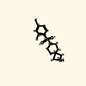 Cc1ccc(S(=O)(=O)N2CCC3(CC2)CNC3)c(C)c1